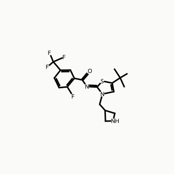 CC(C)(C)c1cn(CC2CNC2)/c(=N/C(=O)c2cc(C(F)(F)F)ccc2F)s1